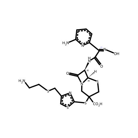 NCCSCc1csc(SC2(C(=O)O)CS[C@@H]3[C@H](NC(=O)/C(=N\O)c4cccc(N)n4)C(=O)N3C2)n1